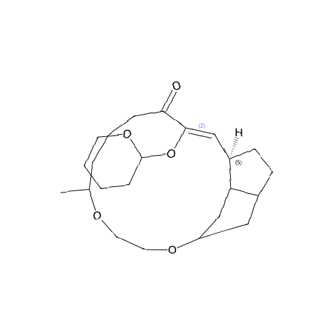 CC1CCCC(=O)/C(OC2CCCCO2)=C/[C@H]2CCC3CC(CC32)OCCO1